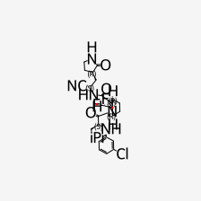 CC(C)C[C@H](Nc1cccc(Cl)c1)C(=O)N1[C@@H]2CC[C@H]([C@@H]1C(=O)N[C@H](C#N)C[C@H]1CCNC1=O)C(F)(F)C2